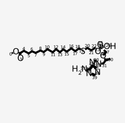 COC(=O)CCCCCCCCCCCCCCCSCCCOP(=O)(O)COC(C)Cn1cnc2c(N)ncnc21